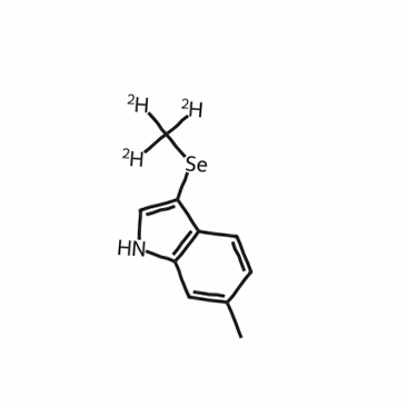 [2H]C([2H])([2H])[Se]c1c[nH]c2cc(C)ccc12